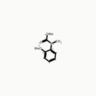 [CH2]OC(=O)N(C)c1ccccc1OC